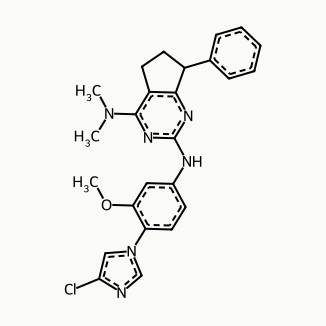 COc1cc(Nc2nc3c(c(N(C)C)n2)CCC3c2ccccc2)ccc1-n1cnc(Cl)c1